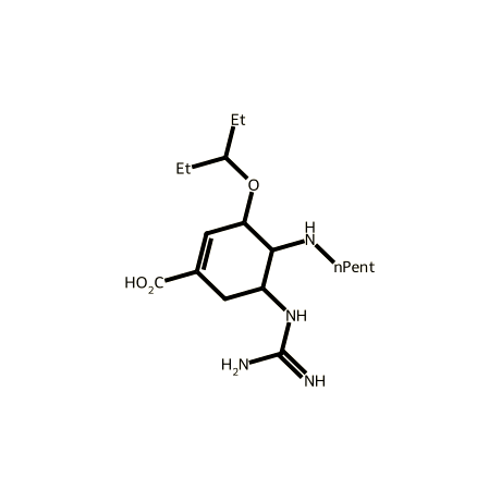 CCCCCNC1C(NC(=N)N)CC(C(=O)O)=CC1OC(CC)CC